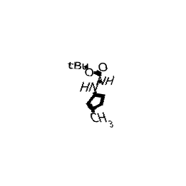 CC1CCC(NNC(=O)OC(C)(C)C)C1